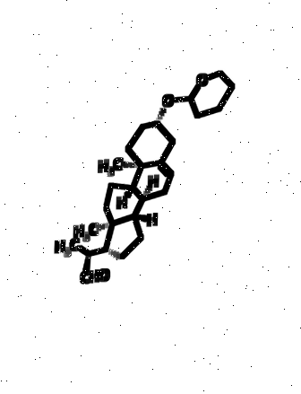 C[C@H](C=O)[C@H]1CC[C@H]2[C@@H]3CC=C4C[C@@H](OC5CCCCO5)CC[C@]4(C)[C@H]3CC[C@]12C